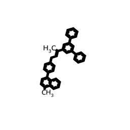 C/C(=C\Cc1ccc(-c2ccc(C)c3ccccc23)cc1)c1cc(-c2ccccc2)cc(-c2ccccc2)c1